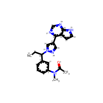 CN(C(=O)C(F)(F)F)c1cccc(C(CC#N)n2cc(-c3ncnc4[nH]ccc34)cn2)c1